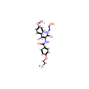 O=C(NCCO)C(NC(=O)c1ccc(OCCC(F)(F)F)cc1)=C(I)c1ccc(OC(F)(F)F)cc1